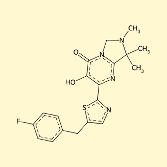 CN1Cn2c(nc(-c3ncc(Cc4ccc(F)cc4)s3)c(O)c2=O)C1(C)C